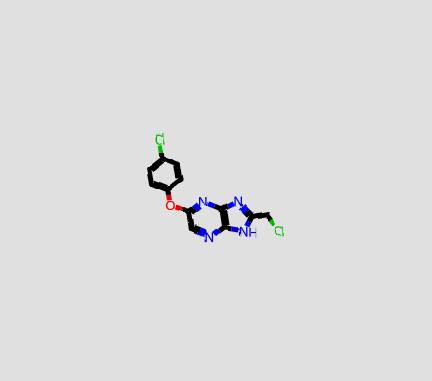 ClCc1nc2nc(Oc3ccc(Cl)cc3)cnc2[nH]1